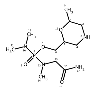 CC1CNCC(COP(=O)(N(C)C)N(C)CC(N)=O)O1